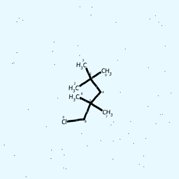 CC(C)(C)CC(C)(C)CCl